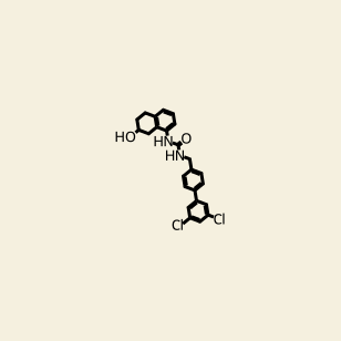 O=C(NCc1ccc(-c2cc(Cl)cc(Cl)c2)cc1)Nc1cccc2c1CC(O)CC2